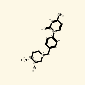 Nc1ccn(-c2ccc(CN3CC[C@@H](N)[C@@H](O)C3)cc2)c(=O)n1